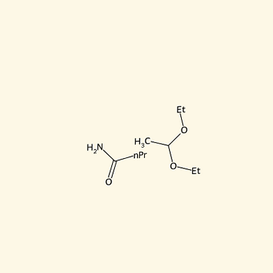 CCCC(N)=O.CCOC(C)OCC